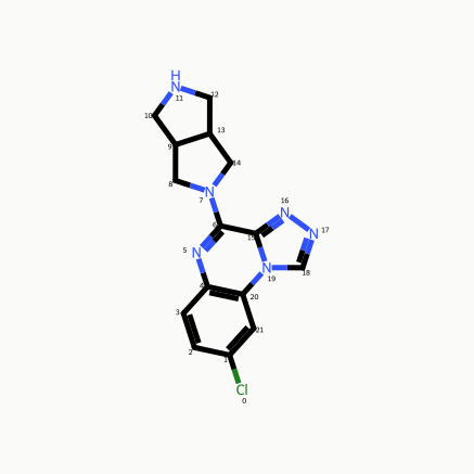 Clc1ccc2nc(N3CC4CNCC4C3)c3nncn3c2c1